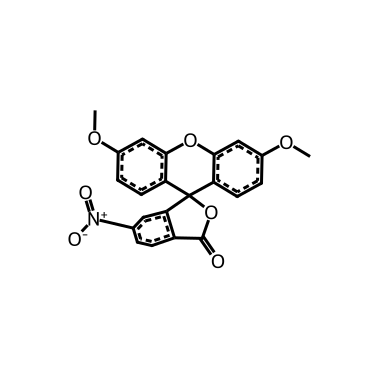 COc1ccc2c(c1)Oc1cc(OC)ccc1C21OC(=O)c2ccc([N+](=O)[O-])cc21